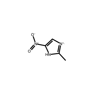 CC1=[N+]C=C([N+](=O)[O-])N1